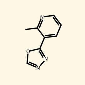 Cc1ncccc1-c1nnco1